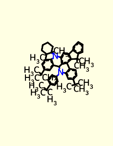 CC(C)(C)c1ccc(N2c3cc(C(C)(C)C)ccc3-c3c4c(cc5c3C(C)(C)c3ccccc3-5)N3c5c(cc(C(C)(C)C)cc5C5(C)CCCCC35C)C42)cc1